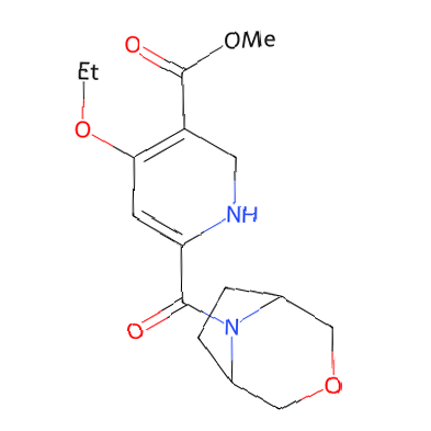 CCOC1=C(C(=O)OC)CNC(C(=O)N2C3CCC2COC3)=C1